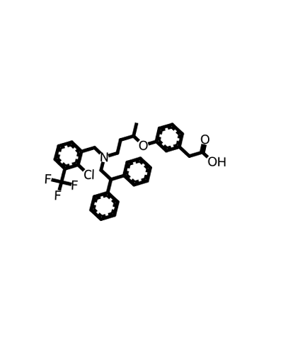 CC(CCN(Cc1cccc(C(F)(F)F)c1Cl)CC(c1ccccc1)c1ccccc1)Oc1cccc(CC(=O)O)c1